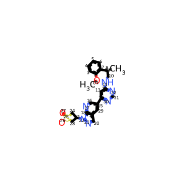 COc1ccccc1[C@H](C)CNc1cc(-c2cnc3c(cnn3C3CS(=O)(=O)C3)c2)ncn1